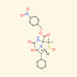 CC(=O)NC1(C(=O)OCc2ccc([N+](=O)[O-])cc2)N2C(=O)C(c3ccccc3)[C@H]2[S+]([O-])C1(C)C